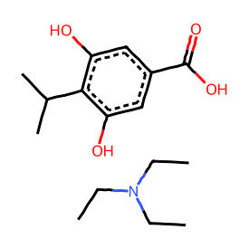 CC(C)c1c(O)cc(C(=O)O)cc1O.CCN(CC)CC